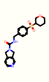 O=C(NCc1ccc(S(=O)(=O)C2CCCOC2)cc1)N1Cc2ccncc2C1